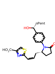 CCCCC[C@@H](O)c1ccc(N2C(=O)CC[C@@H]2C/C=C\c2nc(C(=O)O)cs2)cc1